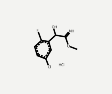 COC(=N)C(O)c1cc(Cl)ccc1F.Cl